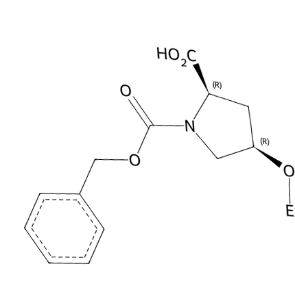 CCO[C@@H]1C[C@H](C(=O)O)N(C(=O)OCc2ccccc2)C1